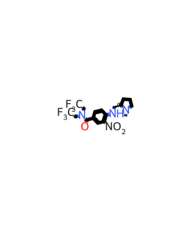 CN1CCC[C@@H]1CNc1ccc(C(=O)N(CC(F)(F)F)CC(F)(F)F)cc1[N+](=O)[O-]